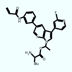 C=CC(=O)Nc1cccc(-c2cnc3c(c2)c(-c2ccnc(F)c2)cn3C(C)OC(=O)C(N)C(C)CC)c1